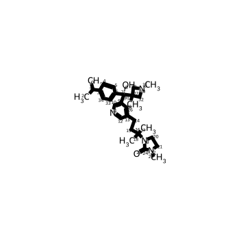 CC(C)c1ccc([C@](O)(c2cncc(CCC(C)(C)N3CCN(C)C3=O)c2)C2(C)CN(C)C2)cc1